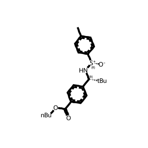 CCCCOC(=O)c1ccc([C@H](N[S@@+]([O-])c2ccc(C)cc2)C(C)(C)C)cc1